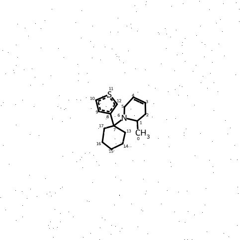 CC1CC=CCN1C1(c2ccsc2)CCCCC1